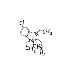 CCN1c2cc(Cl)ccc2[N+](C)(CC)C1CN